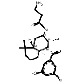 C[C@H]1[C@H](NC(=O)CCN)C[C@H]2C(C)(C)CCC[C@]2(C)[C@H]1C(=O)c1cc(O)cc(O)c1